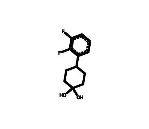 OC1(O)CCC(c2cccc(F)c2F)CC1